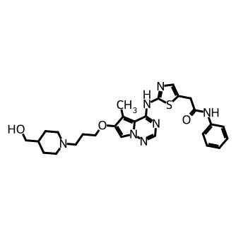 Cc1c(OCCCN2CCC(CO)CC2)cn2ncnc(Nc3ncc(CC(=O)Nc4ccccc4)s3)c12